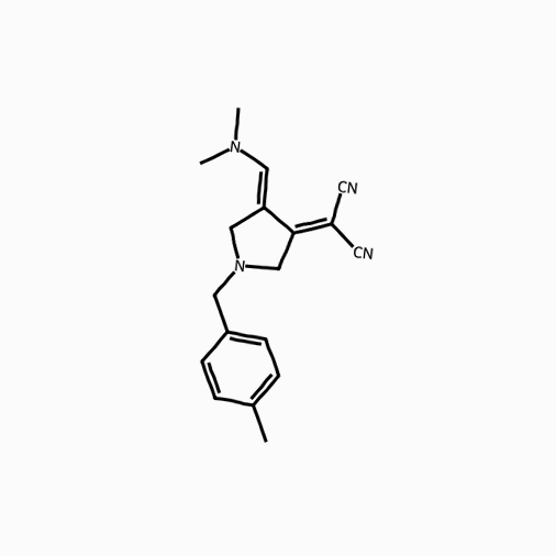 Cc1ccc(CN2CC(=CN(C)C)C(=C(C#N)C#N)C2)cc1